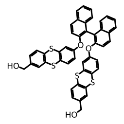 OCc1ccc2c(c1)Sc1ccc(Oc3ccc4ccccc4c3-c3c(Oc4ccc5c(c4)Sc4ccc(CO)cc4S5)ccc4ccccc34)cc1S2